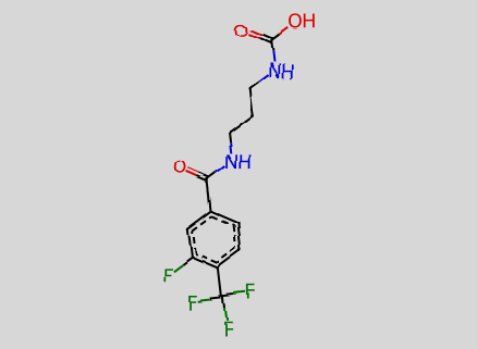 O=C(O)NCCCNC(=O)c1ccc(C(F)(F)F)c(F)c1